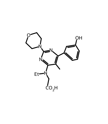 CCN(CC(=O)O)c1nc(N2CCOCC2)nc(-c2cccc(O)c2)c1C